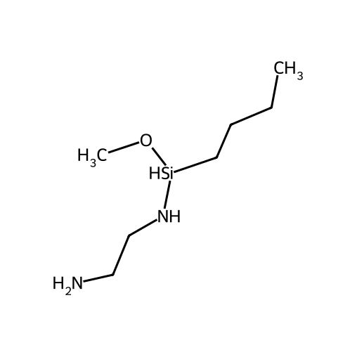 CCCC[SiH](NCCN)OC